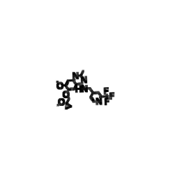 COc1cc2nc(C)nc(NCc3ccnc(C(F)(F)F)c3)c2cc1OCC1(OC)CC1